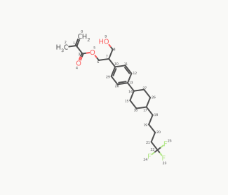 C=C(C)C(=O)OCC(CO)c1ccc(C2CCC(CCCCC(F)(F)F)CC2)cc1